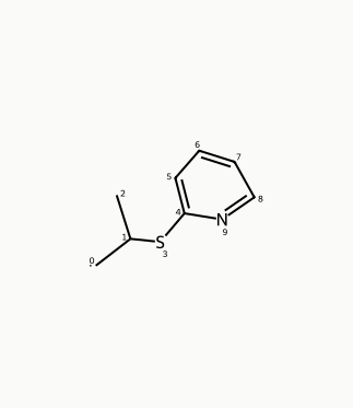 [CH2]C(C)Sc1ccccn1